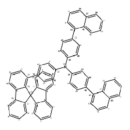 c1ccc2c(c1)-c1ccccc1C21c2ccccc2-c2cccc(-c3ccc(N(c4ccc(-c5cccc6ccccc56)cc4)c4ccc(-c5cccc6ccccc56)cc4)cc3)c21